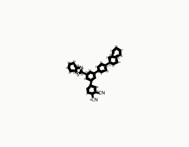 N#Cc1ccc(-c2cc(-c3ccc(-c4ccc5ccccc5c4)cc3)cc(-c3nc4ccccc4s3)c2)cc1C#N